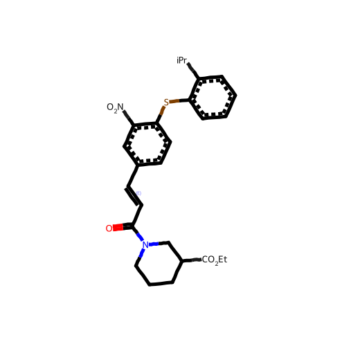 CCOC(=O)C1CCCN(C(=O)/C=C/c2ccc(Sc3ccccc3C(C)C)c([N+](=O)[O-])c2)C1